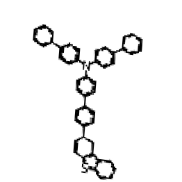 C1=CC(c2ccc(-c3ccc(N(c4ccc(-c5ccccc5)cc4)c4ccc(-c5ccccc5)cc4)cc3)cc2)Cc2c1sc1ccccc21